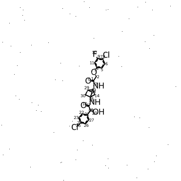 O=C(COc1ccc(Cl)c(F)c1)NC1CC2(NC(=O)[C@H](O)c3ccc(Cl)cc3)CC1C2